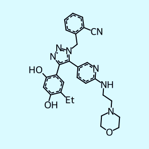 CCc1cc(-c2nnn(Cc3ccccc3C#N)c2-c2ccc(NCCN3CCOCC3)nc2)c(O)cc1O